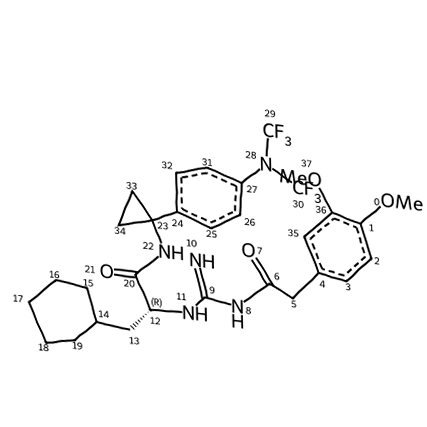 COc1ccc(CC(=O)NC(=N)N[C@H](CC2CCCCC2)C(=O)NC2(c3ccc(N(C(F)(F)F)C(F)(F)F)cc3)CC2)cc1OC